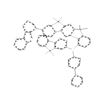 CC1(C)c2ccccc2-c2ccc(N(c3ccc(-c4ccccc4)cc3)c3cccc4c3-c3cc5c(cc3C4(C)C)C(C)(C)c3cc(-c4cccc6c4oc4ccccc46)ccc3-5)cc21